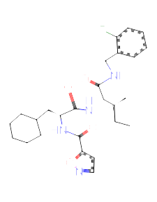 CC[C@H](C)[C@H](NC(=O)[C@H](CC1CCCCC1)NC(=O)c1ccno1)C(=O)NCc1ccccc1F